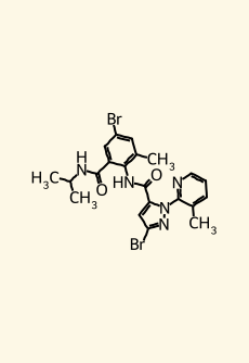 Cc1cccnc1-n1nc(Br)cc1C(=O)Nc1c(C)cc(Br)cc1C(=O)NC(C)C